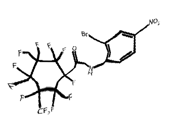 O=C(Nc1ccc([N+](=O)[O-])cc1Br)C1(F)C(F)(F)C(F)(F)C(F)(F)C(F)(C(F)(F)F)C1(F)F